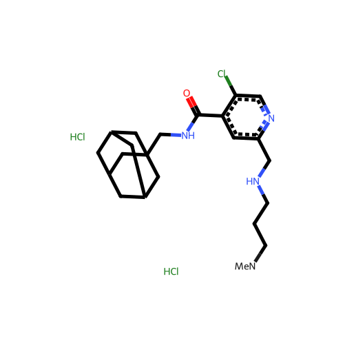 CNCCCNCc1cc(C(=O)NCC23CC4CC(CC(C4)C2)C3)c(Cl)cn1.Cl.Cl